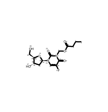 CCCC(=O)OCn1c(=O)c(F)cn([C@H]2C[C@H](O)[C@@H](CO)O2)c1=O